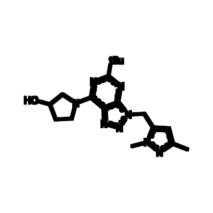 Cc1cc(Cn2nnc3c(N4CCC(O)C4)nc(C(C)(C)C)nc32)n(C)n1